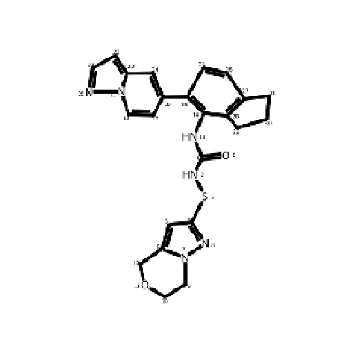 O=C(NSc1cc2n(n1)CCOC2)Nc1c(-c2ccn3nccc3c2)ccc2c1CCC2